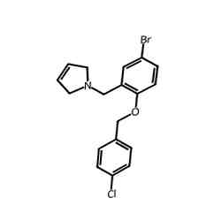 Clc1ccc(COc2ccc(Br)cc2CN2CC=CC2)cc1